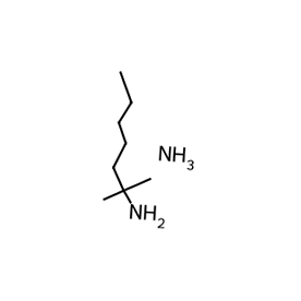 CCCCCC(C)(C)N.N